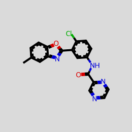 Cc1ccc2oc(-c3cc(NC(=O)c4cnccn4)ccc3Cl)nc2c1